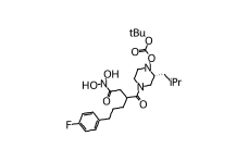 CC(C)C[C@@H]1CN(C(=O)C(CCCc2ccc(F)cc2)CC(=O)N(O)O)CCN1OC(=O)OC(C)(C)C